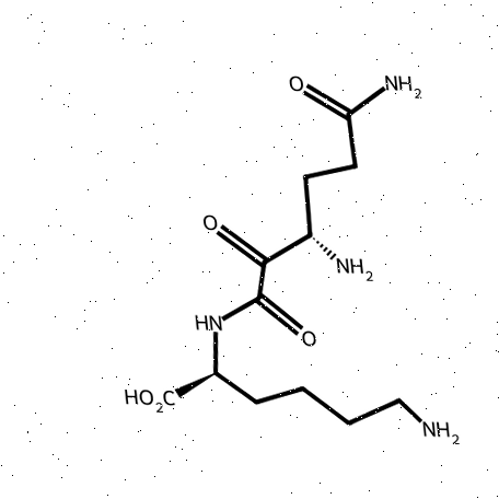 NCCCC[C@H](NC(=O)C(=O)[C@@H](N)CCC(N)=O)C(=O)O